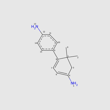 CC1(C)CC(N)=CC=C1c1ccc(N)cc1